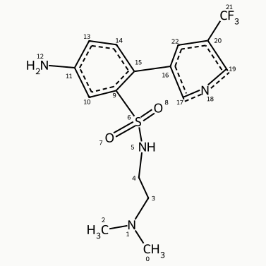 CN(C)CCNS(=O)(=O)c1cc(N)ccc1-c1cncc(C(F)(F)F)c1